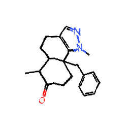 CC1C(=O)CCC2(Cc3ccccc3)c3c(cnn3C)CCC12